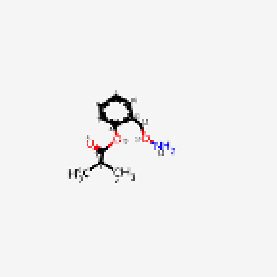 CC(C)C(=O)Oc1ccccc1CON